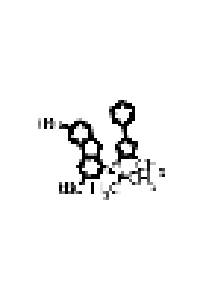 C[C](C)=[Zr]([C]1=CC(c2ccccc2)=CC1C)[c]1cc(C(C)(C)C)cc2c1Cc1ccc(C(C)(C)C)cc1-2